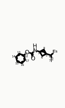 O=C(NC12CC(C(F)F)(C1)C2)Oc1ccccc1